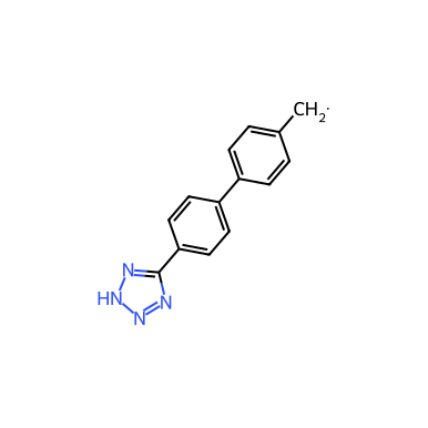 [CH2]c1ccc(-c2ccc(-c3nn[nH]n3)cc2)cc1